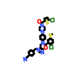 CSc1ccc(Cl)c(C(=O)N(Cc2cncn2Cc2ccc(C#N)cc2)c2ccc(N3CCN(C(=O)c4ccc(Cl)s4)CC3)cc2)c1